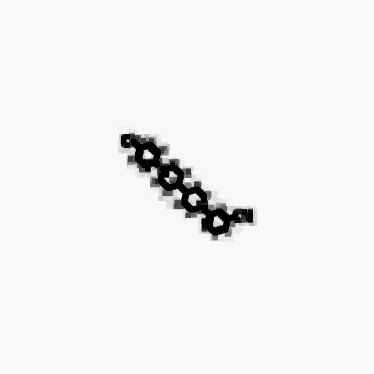 N#Cc1ccnc(N2CCC(C3CCN(c4ccc(Cl)cn4)CC3)CC2)c1